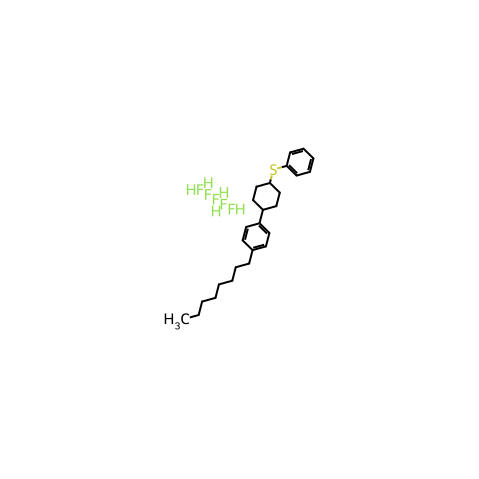 CCCCCCCCc1ccc(C2CCC(Sc3ccccc3)CC2)cc1.F.F.F.F.F